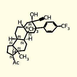 C#C[C@@]1(O)C[C@H]2CC[C@@H]3[C@H](CC[C@]4(C)[C@@H](C(C)=O)CC[C@@H]34)[C@@]2(C)CC1c1ccc(C(F)(F)F)cc1